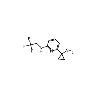 NC1(c2cccc(NCC(F)(F)F)n2)CC1